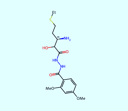 CCSCC[C@@H](N)C(O)C(=O)NNC(=O)c1ccc(OC)cc1OC